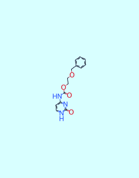 O=C(Nc1cc[nH]c(=O)n1)OCCOCc1ccccc1